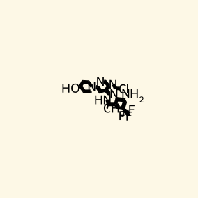 C[C@@H](Nc1nc(Cl)nc2cnc(N3CCC(O)CC3)cc12)c1cc(N)cc(C(F)(F)F)c1